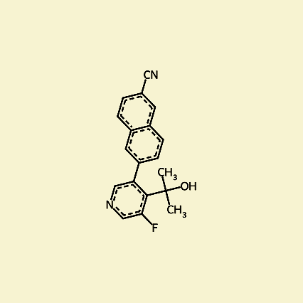 CC(C)(O)c1c(F)cncc1-c1ccc2cc(C#N)ccc2c1